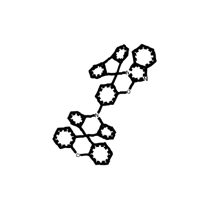 c1ccc2c(c1)Oc1ccccc1C21c2ccccc2N(c2ccc3c(c2)Oc2nc4ccccc4n2C32c3ccccc3-c3ccccc32)c2ccccc21